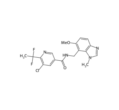 COc1ccc2ncn(C)c2c1CNC(=O)c1cnc(C(C)(F)F)c(Cl)c1